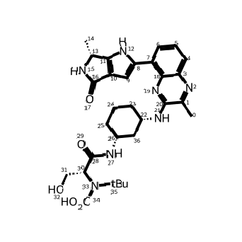 Cc1nc2cccc(-c3cc4c([nH]3)[C@@H](C)NC4=O)c2nc1N[C@H]1CCC[C@@H](NC(=O)[C@@H](CO)N(C(=O)O)C(C)(C)C)C1